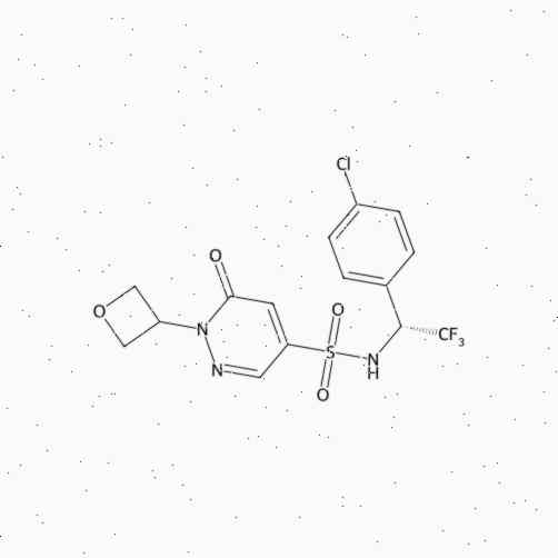 O=c1cc(S(=O)(=O)N[C@H](c2ccc(Cl)cc2)C(F)(F)F)cnn1C1COC1